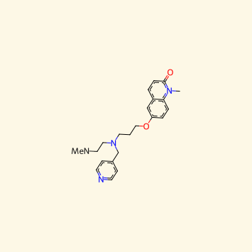 CNCCN(CCCOc1ccc2c(ccc(=O)n2C)c1)Cc1ccncc1